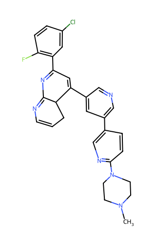 CN1CCN(c2ccc(-c3cncc(C4=CC(c5cc(Cl)ccc5F)=NC5=NC=CCC45)c3)cn2)CC1